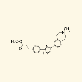 COC(=O)CCc1ccc(-c2nc(-c3ccc4c(c3)CCN(C)CC4)c[nH]2)cc1